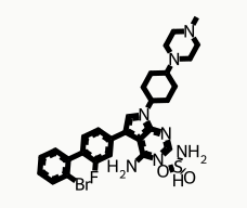 CN1CCN(C2CCC(n3cc(-c4ccc(-c5ccccc5Br)c(F)c4)c4c(N)ncnc43)CC2)CC1.N[SH](=O)=O